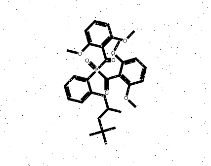 COc1cccc(OC)c1C(=O)P(=O)(C(=O)c1c(OC)cccc1OC)c1ccccc1CC(C)CC(C)(C)C